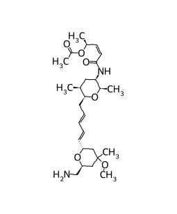 COC1(C)C[C@@H](CN)O[C@H](/C=C/C=C/C[C@@H]2O[C@H](C)[C@H](NC(=O)/C=C\[C@H](C)OC(C)=O)C[C@@H]2C)C1